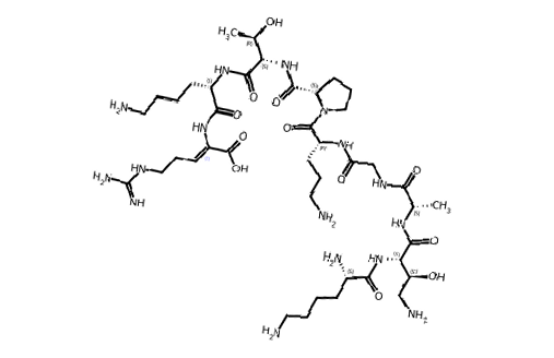 C[C@H](NC(=O)[C@@H](NC(=O)[C@@H](N)CCCCN)[C@@H](O)CN)C(=O)NCC(=O)N[C@H](CCCN)C(=O)N1CCC[C@H]1C(=O)N[C@H](C(=O)N[C@@H](CCCCN)C(=O)N/C(=C\CCNC(=N)N)C(=O)O)[C@@H](C)O